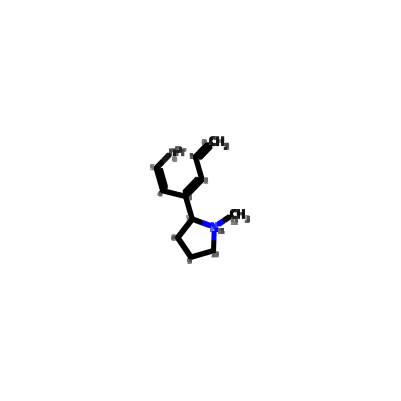 C=C/C=C(\C=C/CCC)C1CCCN1C